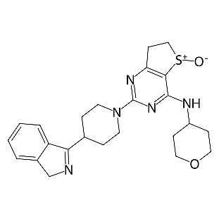 [O-][S+]1CCc2nc(N3CCC(C4=NCc5ccccc54)CC3)nc(NC3CCOCC3)c21